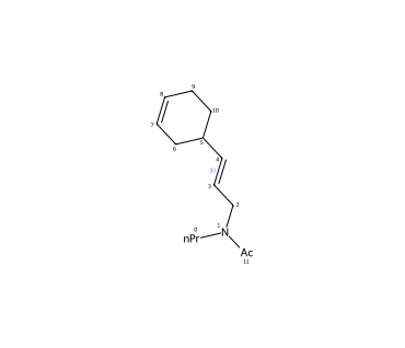 CCCN(C/C=C/C1CC=CCC1)C(C)=O